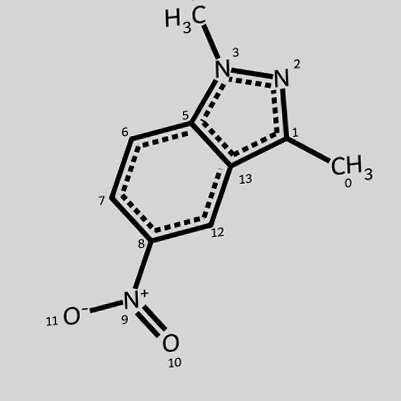 Cc1nn(C)c2ccc([N+](=O)[O-])cc12